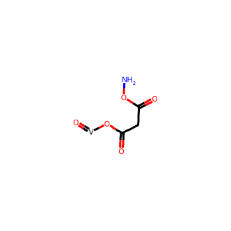 NOC(=O)CC(=O)[O][V]=[O]